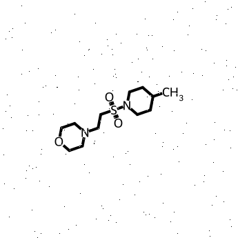 CC1CCN(S(=O)(=O)CCN2CCOCC2)CC1